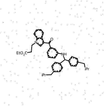 CCOC(=O)CCn1cc(C(=O)c2cccc(NC(c3ccc(CC(C)C)cc3)c3ccc(CC(C)C)cc3)c2)c2ccccc21